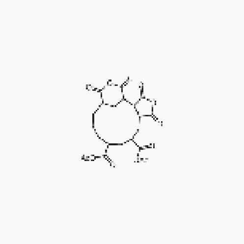 CC(=O)OC(=O)C1CCCC2CC(C(=O)OC2=O)C2C(=O)OC(=O)C2CC(C(=O)OC(C)=O)C1